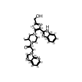 CC1CN(c2sc(CO)nc2-c2nc3ccccc3[nH]2)CCN1C(=O)Cn1cnc2cccnc21